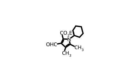 CCOC(=O)c1c(C=O)c(C)c(C)n1C1CCCCC1